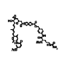 CNC(CCCNC(N)=O)C(=O)Nc1ccc(COC(=O)N2CC3(CN(C(=O)C[C@@H]4CC5(CO5)[C@H](O)C(/C=C/C(C)=C/CC5OC(C)C(NC(=O)/C=C\C(C)OC(C)=O)CC5C)O4)C3)C2)cc1